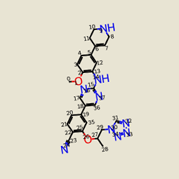 COc1ccc(C2=CCNCC2)cc1Nc1ncc(-c2ccc(C#N)c(OC(C)Cn3cnnn3)c2)cn1